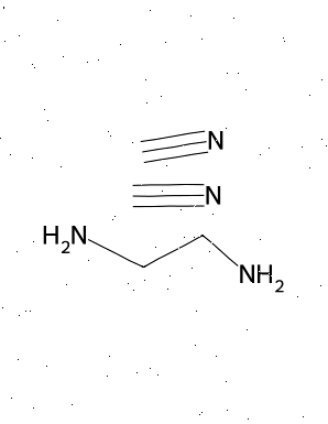 C#N.C#N.NCCN